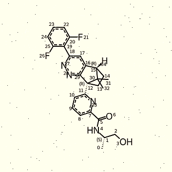 C[C@@H](CO)NC(=O)c1cccc([C@]23CC[C@@H](c4cc(-c5c(F)cccc5F)nnc42)C3(C)C)n1